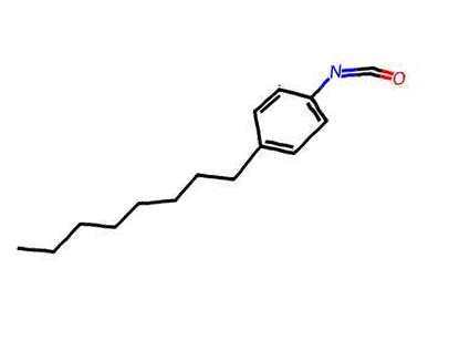 CCCCCCCCc1c[c]c(N=C=O)cc1